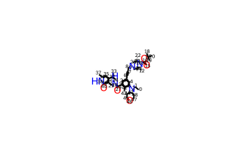 CCN(c1cc(C#CCN2C[C@@H](C)N(C(=O)OC(C)(C)C)[C@@H](C)C2)cc(C(=O)NCc2c(C(C)C)cc(C)[nH]c2=O)c1C)C1CCOCC1